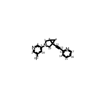 Fc1cncc(N2CC3CC3(C#Cc3ccccn3)C2)c1